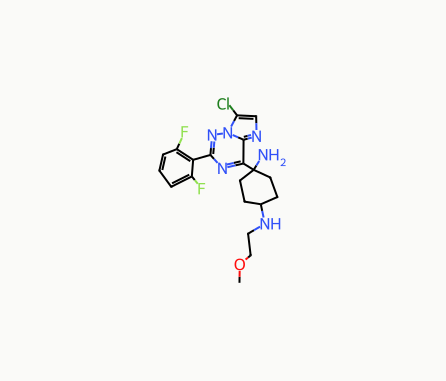 COCCNC1CCC(N)(c2nc(-c3c(F)cccc3F)nn3c(Cl)cnc23)CC1